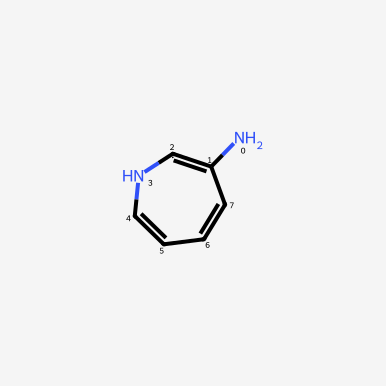 NC1=[C]NC=CC=C1